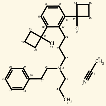 CC#N.CCCN(CCCc1c(C2(Cl)CCC2)cccc1C1(Cl)CCC1)CCc1ccccc1